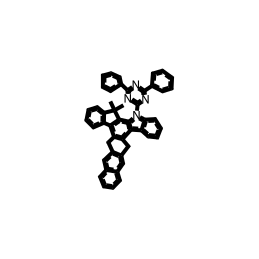 CC1(C)c2ccccc2-c2c3c(c4c5ccccc5n(-c5nc(-c6ccccc6)nc(-c6ccccc6)n5)c4c21)Cc1cc2ccccc2cc1C3